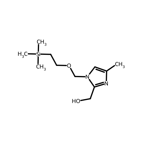 Cc1cn(COCC[Si](C)(C)C)c(CO)n1